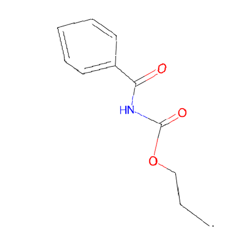 [CH2]CCOC(=O)NC(=O)c1ccccc1